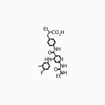 CCNC(=O)Nc1cc(Nc2ccc(F)c(C)c2)c(C(=O)Nc2ccc(CC(CC)C(=O)O)cc2)cn1